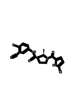 C[C@H]1[C@@H](C(=O)Nc2ccc(F)c(C#N)c2)CCN1C(=O)c1ccc(Cl)[nH]1